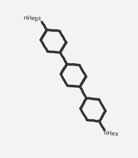 CCCCCCCC1CCC(C2CCC(C3CCC(CCCCCC)CC3)CC2)CC1